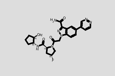 NC(=O)c1nn(CC(=O)N2C[C@H](F)C[C@H]2C(=O)N[C@@H]2CCC[C@H]2O)c2ccc(-c3ccnnc3)cc12